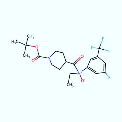 CC[N+]([O-])(C(=O)C1CCN(C(=O)OC(C)(C)C)CC1)c1cc(F)cc(C(F)(F)F)c1